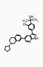 CC(C)(O)c1ccc(-c2n[nH]c3ncc(-c4ccc5c(c4)CN(C4CCCC4)CC5)cc23)cc1Cl